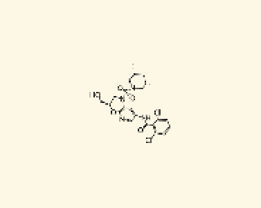 C[C@@H]1C[C@H](C)CN(S(=O)(=O)N2C[C@H](CO)Oc3ncc(NC(=O)c4c(Cl)cccc4Cl)cc32)C1